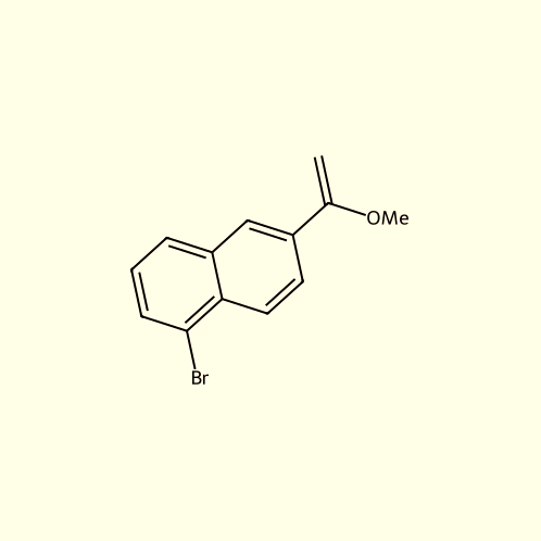 C=C(OC)c1ccc2c(Br)cccc2c1